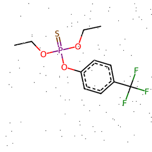 CCOP(=S)(OCC)Oc1ccc(C(F)(F)F)cc1